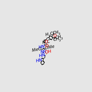 COc1nc(N[C@H](CO)Cc2c[nH]c3ccccc23)nc(OC)c1NC(=O)c1ccc(Cc2cc3c(cc2C)C(C)(C)OC3(C)C)o1